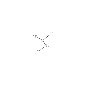 FOC(F)F